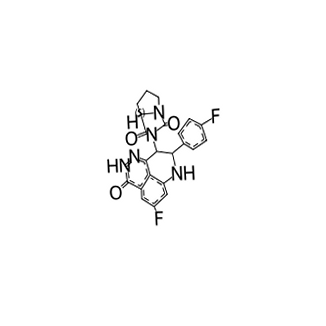 O=C1[C@@H]2CCCN2C(=O)N1C1c2n[nH]c(=O)c3cc(F)cc(c23)NC1c1ccc(F)cc1